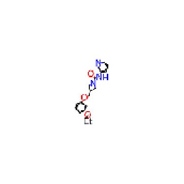 CCOc1cccc(OCC2CN(C(=O)Nc3cccnc3)C2)c1